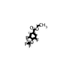 CCOC(=O)c1cc(F)c(OC(F)(F)F)c(F)c1